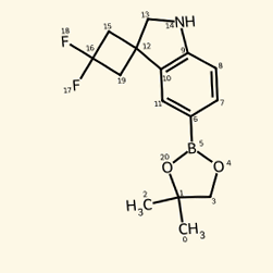 CC1(C)COB(c2ccc3c(c2)C2(CN3)CC(F)(F)C2)O1